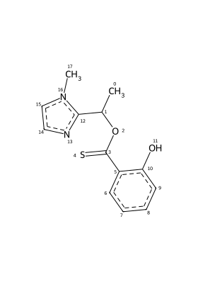 CC(OC(=S)c1ccccc1O)c1nccn1C